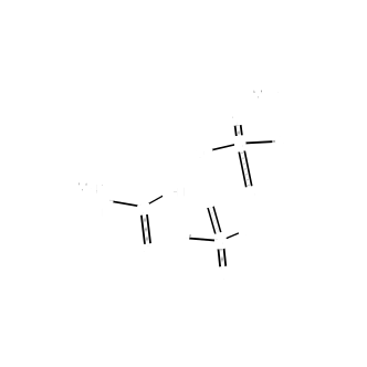 O=S(=O)([O-])[O-].O=S(=O)([O-])[O-].O=S(O)O.[Mg+2].[Mg+2]